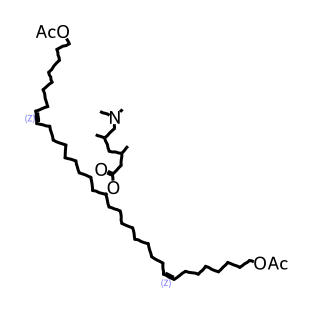 CC(=O)OCCCCCCC/C=C\CCCCCCCCC(CCCCCCCC/C=C\CCCCCCCOC(C)=O)OC(=O)CC(C)CC(C)CN(C)C